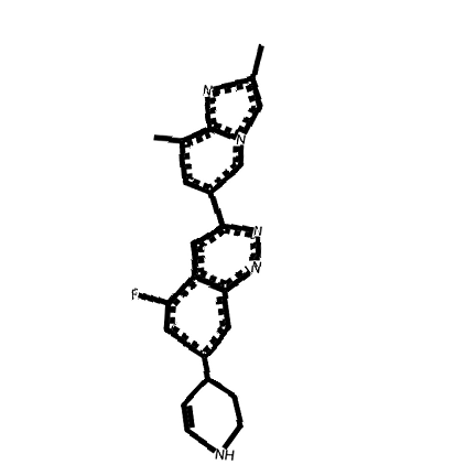 Cc1cn2cc(-c3cc4c(F)cc(C5C=CNCC5)cc4nn3)cc(C)c2n1